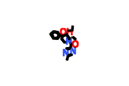 CCC[C@@H]1[C@H](CC)N(C(=O)c2cnc(C)cn2)CC[C@@]1(O)c1ccccc1